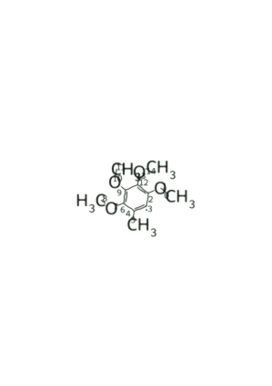 COc1[c]c(C)c(OC)c(OC)c1OC